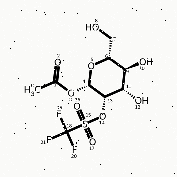 CC(=O)O[C@@H]1O[C@H](CO)[C@@H](O)[C@H](O)[C@@H]1OS(=O)(=O)C(F)(F)F